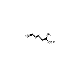 C=CC=CC=C(C(=O)O)C(C)(C)C